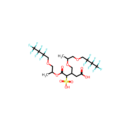 CC(COCC(F)(F)C(F)(F)C(F)(F)F)OCC(CC(=O)O)C(C(=O)OC(C)COCC(F)(F)C(F)(F)C(F)(F)F)S(=O)(=O)O